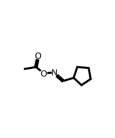 CC(=O)ON=CC1CCCC1